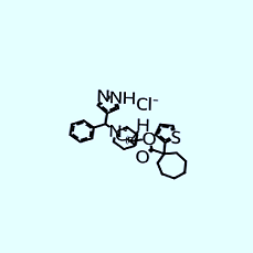 O=C(O[C@H]1C[N+]2(C(c3ccccc3)c3cn[nH]c3)CCC1CC2)C1(c2cccs2)CCCCCC1.[Cl-]